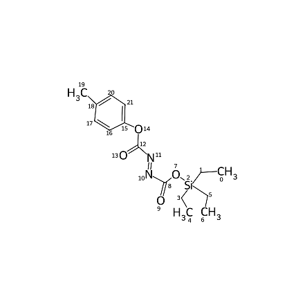 CC[Si](CC)(CC)OC(=O)N=NC(=O)Oc1ccc(C)cc1